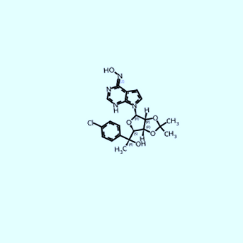 CC1(C)O[C@@H]2[C@H](O1)[C@@H]([C@](C)(O)c1ccc(Cl)cc1)O[C@H]2n1ccc2/c(=N/O)nc[nH]c21